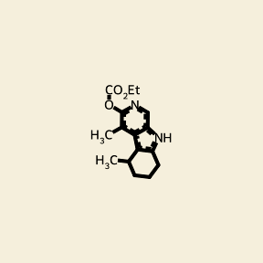 CCOC(=O)Oc1ncc2[nH]c3c(c2c1C)C(C)CCC3